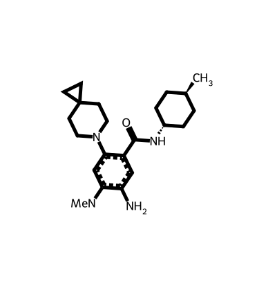 CNc1cc(N2CCC3(CC2)CC3)c(C(=O)N[C@H]2CC[C@H](C)CC2)cc1N